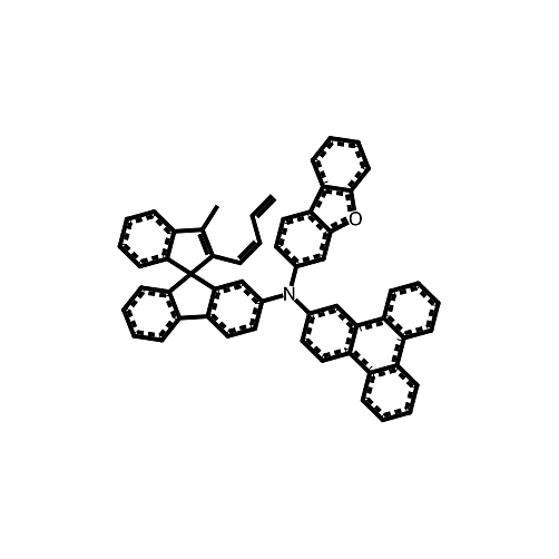 C=C/C=C\C1=C(C)c2ccccc2C12c1ccccc1-c1ccc(N(c3ccc4c(c3)oc3ccccc34)c3ccc4c5ccccc5c5ccccc5c4c3)cc12